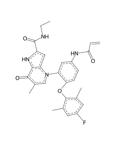 C=CC(=O)Nc1ccc(Oc2c(C)cc(F)cc2C)c(-n2cc(C)c(=O)c3[nH]c(C(=O)NCC)cc32)c1